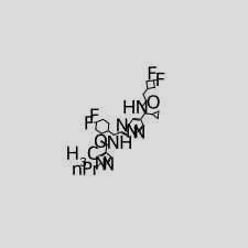 CCCn1ncc(C(=O)N[C@H](c2cn3ncc([C@@H](NC(=O)CC4CC(F)(F)C4)C4CC4)cc3n2)C2CCC(F)(F)CC2)c1C